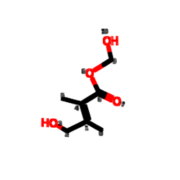 CC(CO)=C(C)C(=O)OCO